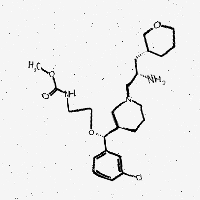 COC(=O)NCCO[C@@H](c1cccc(Cl)c1)[C@@H]1CCCN(C[C@@H](N)C[C@H]2CCCOC2)C1